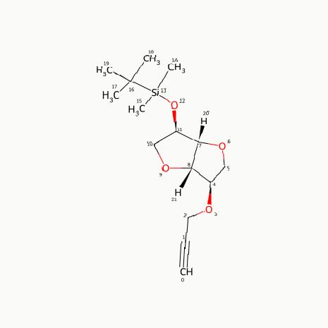 C#CCO[C@@H]1CO[C@@H]2[C@H]1OC[C@H]2O[Si](C)(C)C(C)(C)C